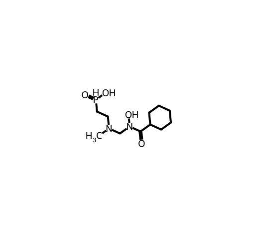 CN(CC[PH](=O)O)CN(O)C(=O)C1CCCCC1